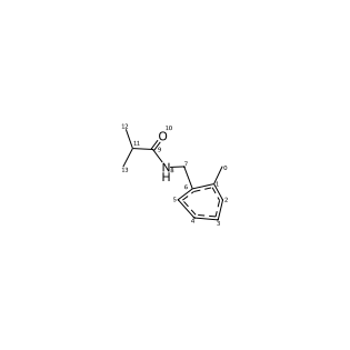 Cc1ccccc1CNC(=O)C(C)C